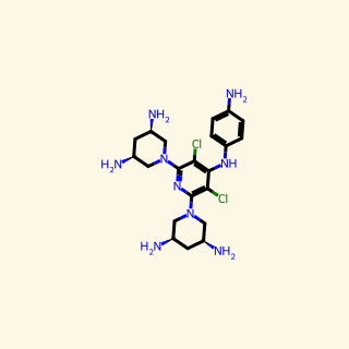 Nc1ccc(Nc2c(Cl)c(N3C[C@H](N)C[C@H](N)C3)nc(N3C[C@H](N)C[C@H](N)C3)c2Cl)cc1